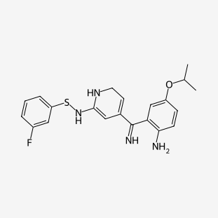 CC(C)Oc1ccc(N)c(C(=N)C2=CCNC(NSc3cccc(F)c3)=C2)c1